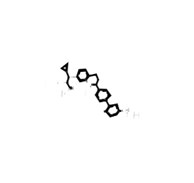 COc1ccc(F)c(-c2ccc(C3CCc4ccc([C@H](C5CC5)[C@H](C)C(=O)O)cc4N3)cc2)c1